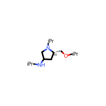 CC(C)NC1C[C@@H](COC(C)C)N(C(C)C)C1